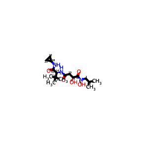 CC(C)CN(O)C(=O)[C@@H](O)CC(=O)N[C@H](C(=O)NC1CC1)C(C)(C)C